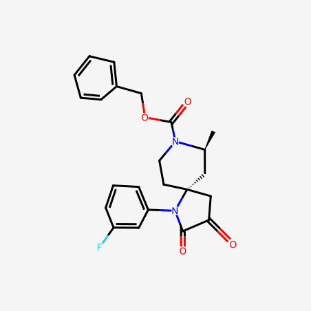 C[C@H]1C[C@]2(CCN1C(=O)OCc1ccccc1)CC(=O)C(=O)N2c1cccc(F)c1